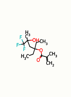 C=C(C)C(=O)OC(CC)(CC)CC(C)(O)C(F)(F)F